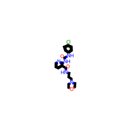 O=C(Nc1ccc(Cl)cc1)Nc1ncccc1C(=O)NCCCN1CCOCC1